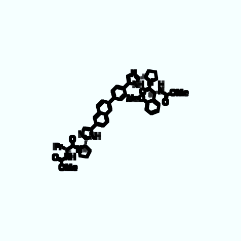 COC(=O)N[C@H](C(=O)N1CCC[C@H]1c1ncc(-c2ccc3cc(-c4ccc(-c5cnc([C@@H]6CCCN6C(=O)[C@H](NC(=O)OC)c6ccccc6OC)[nH]5)cc4)ccc3c2)[nH]1)C(C)C